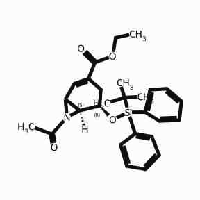 CCOC(=O)C1=CC2[C@@H]([C@H](O[Si](c3ccccc3)(c3ccccc3)C(C)(C)C)C1)N2C(C)=O